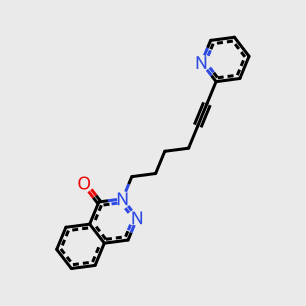 O=c1c2ccccc2cnn1CCCCC#Cc1ccccn1